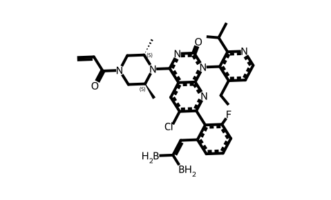 BC(B)=Cc1cccc(F)c1-c1nc2c(cc1Cl)c(N1[C@@H](C)CN(C(=O)C=C)C[C@@H]1C)nc(=O)n2-c1c(CC)ccnc1C(C)C